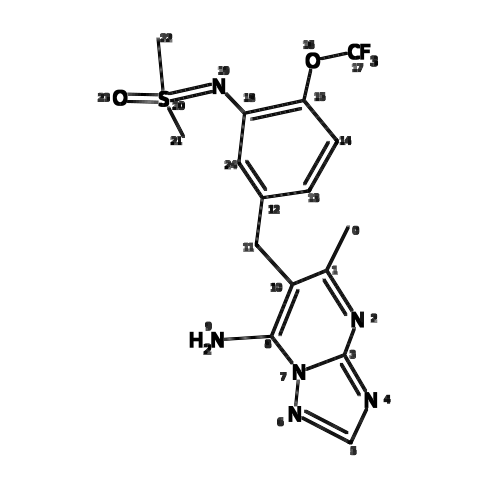 Cc1nc2ncnn2c(N)c1Cc1ccc(OC(F)(F)F)c(N=S(C)(C)=O)c1